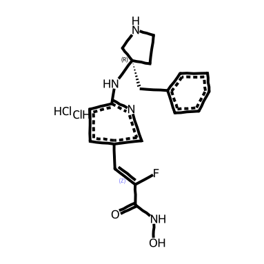 Cl.Cl.O=C(NO)/C(F)=C/c1ccc(N[C@]2(Cc3ccccc3)CCNC2)nc1